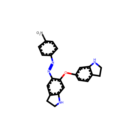 O=[N+]([O-])c1ccc(N=Nc2cc3c(cc2Oc2ccc4c(c2)NCC4)NCC3)cc1